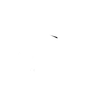 O=C(O)C=C1CCCC[C@H]1Cc1ccccc1